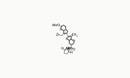 COc1ccc2cc(-c3nc4cc(C(=O)N5C[C@H]6CC[C@@H]5[C@@H]6N)cnc4n3C)n(CC3CC3)c2n1